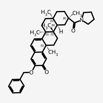 C[C@@]1(C(=O)N2CCCC2)CC[C@]2(C)CC[C@]3(C)C4=CC=C5C=C(OCc6ccccc6)C(=O)C=C5[C@]4(C)CC[C@@]3(C)[C@@H]2C1